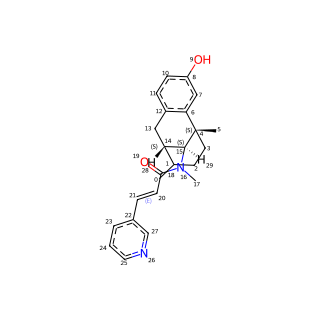 CC1CC[C@@]2(C)c3cc(O)ccc3C[C@@H]1[C@@H]2N(C)C(=O)/C=C/c1cccnc1